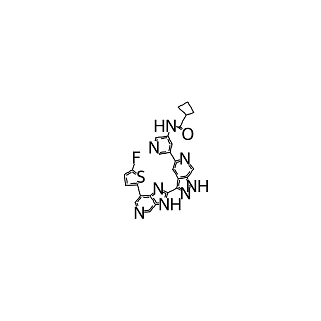 O=C(Nc1cncc(-c2cc3c(-c4nc5c(-c6ccc(F)s6)cncc5[nH]4)n[nH]c3cn2)c1)C1CCC1